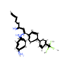 C=CCCC(=N)/C=C(\Nc1ccc(N)cc1)C1=CCC(C2C=CC(C(F)(F)F)=CC2)C=C1